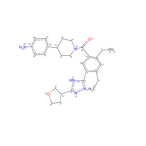 CCc1cc(CC)c(-c2nnc(C3CCOC3)[nH]2)cc1C(=O)N1CCC(c2ccc(N)cc2)CC1